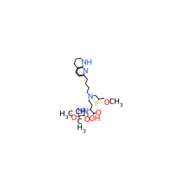 COCC(F)CN(CCCCc1ccc2c(n1)NCCC2)CCC(NC(=O)C(C)(C)OC)C(=O)O